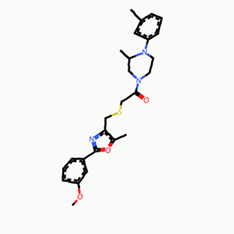 COc1cccc(-c2nc(CSCC(=O)N3CCN(c4cccc(C)c4)C(C)C3)c(C)o2)c1